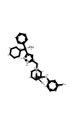 O[C@](c1ccccc1)(c1cc(C[N+]23CCC(CC2)[C@@H](Oc2cccc(F)c2)C3)on1)C1CCCCC1